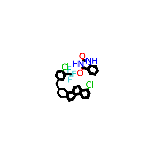 FC(F)(F)c1cc(CC2CCc3ccc4c(ccc5c(Cl)cccc54)c3C2)ccc1Cl.O=c1[nH]c(=O)c2ccccc2[nH]1